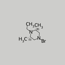 CCN1[C@H](C)CN(Br)C[C@@H]1C